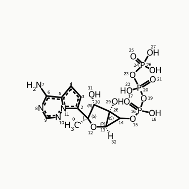 C[C@@]1(c2ccc3c(N)ncnn23)O[C@@H]2C(OP(=O)(O)OP(=O)(O)OP(=O)(O)O)[C@]2(O)[C@H]1O